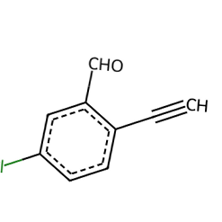 C#Cc1ccc(Cl)cc1C=O